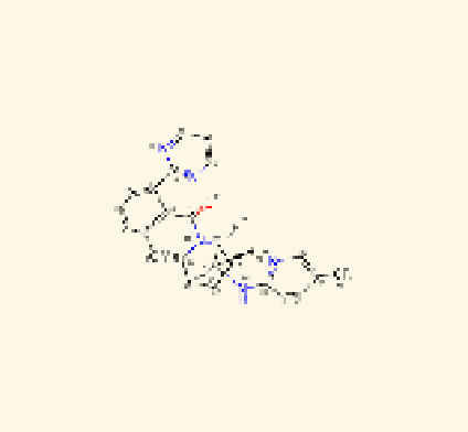 COc1cccc(-c2ncccn2)c1C(=O)N1CC2CC[C@H]1[C@H](Nc1ccc(C(F)(F)F)cn1)C2